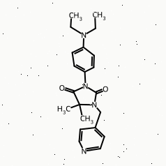 CCN(CC)c1ccc(N2C(=O)N(Cc3ccncc3)C(C)(C)C2=O)cc1